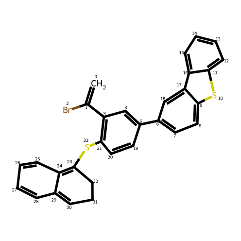 C=C(Br)c1cc(-c2ccc3sc4ccccc4c3c2)ccc1SC1=c2ccccc2=CCC1